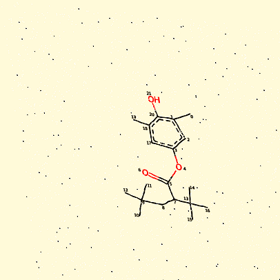 Cc1cc(OC(=O)C(CC(C)(C)C)C(C)(C)C)cc(C)c1O